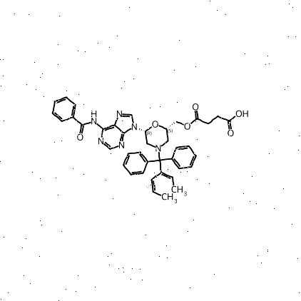 C/C=C\C(=C/C)C(c1ccccc1)(c1ccccc1)N1C[C@@H](COC(=O)CCC(=O)O)O[C@@H](n2cnc3c(NC(=O)c4ccccc4)ncnc32)C1